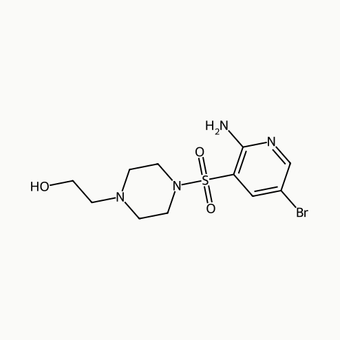 Nc1ncc(Br)cc1S(=O)(=O)N1CCN(CCO)CC1